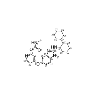 CNC(=O)Oc1cc(Oc2ccc3c(c2)nc(NC2CCCCC2C2CCCCC2)n3C)ccn1